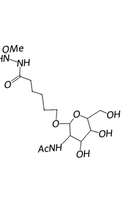 CONNC(=O)CCCCCOC1OC(CO)C(O)C(O)C1NC(C)=O